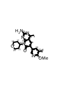 COc1ncc(-c2cc3c(C)nc(N)nc3n(C3CCOCC3)c2=O)cc1F